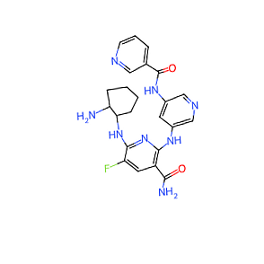 NC(=O)c1cc(F)c(NC2CCCCC2N)nc1Nc1cncc(NC(=O)c2cccnc2)c1